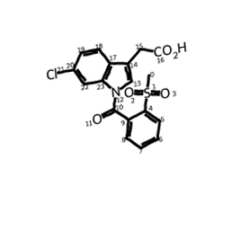 CS(=O)(=O)c1ccccc1C(=O)n1cc(CC(=O)O)c2ccc(Cl)cc21